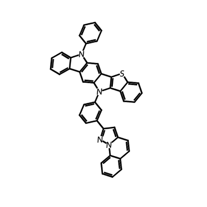 c1ccc(-n2c3ccccc3c3cc4c(cc32)c2sc3ccccc3c2n4-c2cccc(-c3cc4ccc5ccccc5n4n3)c2)cc1